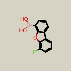 OB(O)c1cccc2c1oc1c(F)cccc12